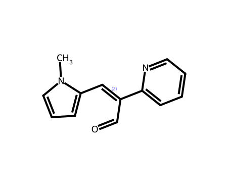 Cn1cccc1/C=C(\C=O)c1ccccn1